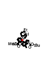 CCN1CC[C@@]2(c3ccc(C(=O)OC)cc3)C[C@H]1CCN2Cc1c(OC)cc(C)c2c1ccn2C(=O)OC(C)(C)C